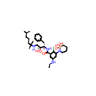 CCNc1cc(C(=O)N[C@@H](Cc2ccccc2)[C@@H](O)CNC(C)(C)CCCC(C)C)c(F)c(N2CCCCS2(O)O)c1